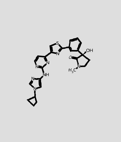 CN1CC[C@@](O)(c2cccc(-c3nc(-c4ccnc(Nc5cn(C6CCC6)cn5)n4)cs3)c2)C1=O